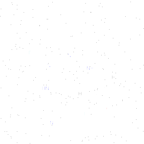 Fc1cncc(Nc2cc(NC3[C@H]4COC[C@@H]34)nc(-c3ccccc3F)n2)c1